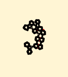 c1ccc(-c2ccc(-c3ccccc3N(c3ccc(-c4cccc(-n5c6ccccc6c6ccccc65)c4)cc3)c3ccc4c(c3)C3(c5ccccc5-c5ccccc53)c3cccc5c6ccccc6n-4c35)cc2)cc1